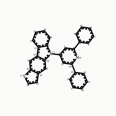 c1ccc(-c2cc(-n3c4ccccc4c4cc5sccc5cc43)cc(-c3ccccc3)n2)cc1